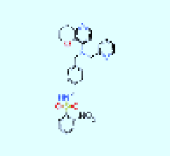 O=[N+]([O-])c1ccccc1S(=O)(=O)NCc1ccc(CN(Cc2ccccn2)c2ccnc3c2OCCC3)cc1